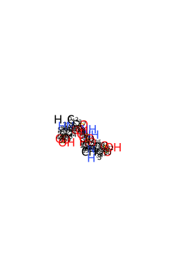 Cc1ccc(S(=O)(=O)NC(=O)NS(=O)(=O)c2ccc(C)c(Nc3c(O)ccc4c(S(=O)(=O)O)cccc34)c2)cc1Nc1c(O)ccc2c(S(=O)(=O)O)cccc12